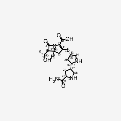 C[C@@H](O)[C@H]1C(=O)N2C(C(=O)O)=C(S[C@@H]3CN[C@H](C4CNC(C(N)=O)C4)C3)C[C@H]12